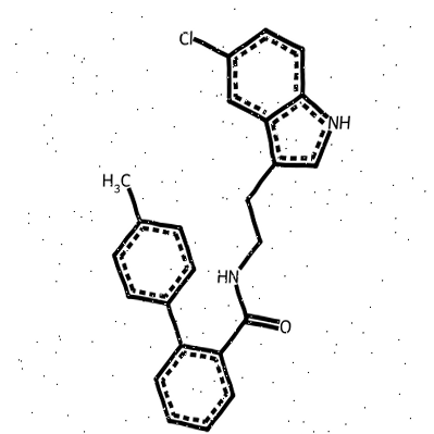 Cc1ccc(-c2ccccc2C(=O)NCCc2c[nH]c3ccc(Cl)cc23)cc1